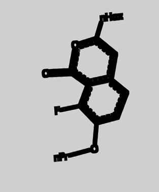 CCCCCCc1cc2ccc(OCCC)c(F)c2c(=O)o1